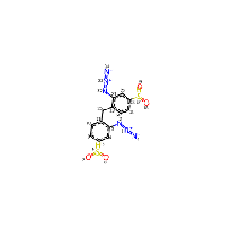 [N-]=[N+]=Nc1cc([SH](=O)=O)ccc1Cc1ccc([SH](=O)=O)cc1N=[N+]=[N-]